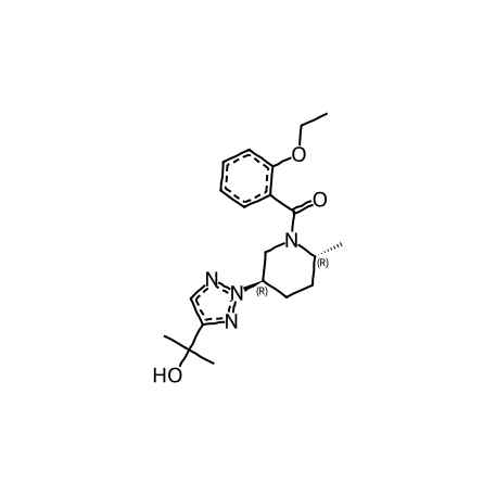 CCOc1ccccc1C(=O)N1C[C@H](n2ncc(C(C)(C)O)n2)CC[C@H]1C